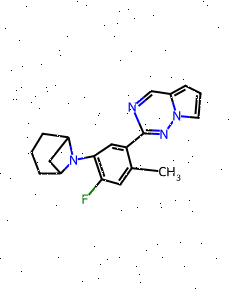 Cc1cc(F)c(N2C3CCCC2C3)cc1-c1ncc2cccn2n1